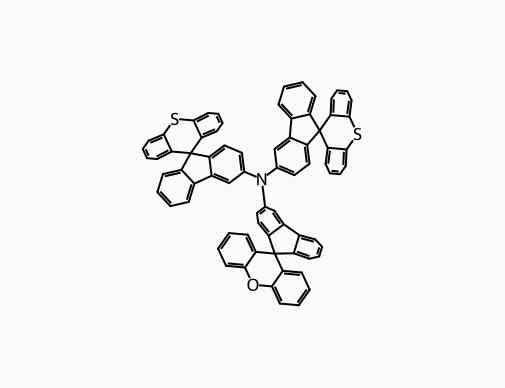 c1ccc2c(c1)Oc1ccccc1C21c2ccccc2-c2cc(N(c3ccc4c(c3)-c3ccccc3C43c4ccccc4Sc4ccccc43)c3ccc4c(c3)-c3ccccc3C43c4ccccc4Sc4ccccc43)ccc21